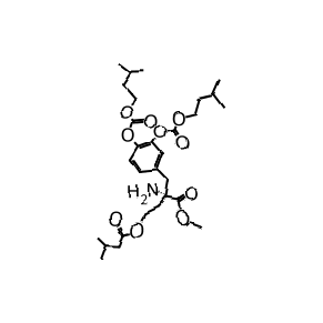 COC(=O)[C@@](N)(CCOC(=O)CC(C)C)Cc1ccc(OC(=O)OCCC(C)C)c(OC(=O)OCCC(C)C)c1